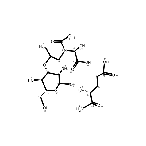 CC(=O)N(CC(C)O[C@@H]1[C@@H](N)[C@@H](O)O[C@H](CO)[C@H]1O)[C@@H](C)C(=O)O.NC(=O)[C@H](N)CCC(=O)O